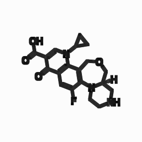 O=C(O)c1cn(C2CC2)c2c3c(c(F)cc2c1=O)N1CCNC[C@H]1COC3